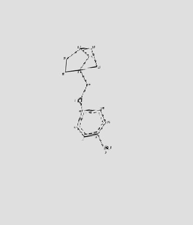 CCC(C)c1ccc(OCC23CCC(CC2)C3)cc1